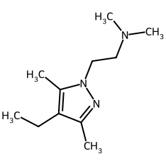 CCc1c(C)nn(CCN(C)C)c1C